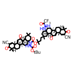 CC1(C)CC[C@]2(N(NC(=O)OC(C)(C)C)C(=O)OC(C)(C)CCC3(C)CC[C@]4(NNC(=O)C(F)(F)F)CC[C@]5(C)[C@H](C(=O)C=C6[C@@]7(C)C=C(C#N)C(=O)C(C)(C)[C@@H]7CC[C@]65C)[C@@H]4C3)CC[C@]3(C)[C@H](C(=O)C=C4[C@@]5(C)C=C(C#N)C(=O)C(C)(C)[C@@H]5CC[C@]43C)[C@@H]2C1